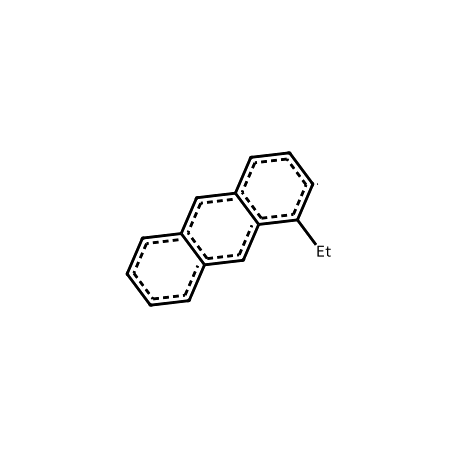 CCc1[c]ccc2cc3ccccc3cc12